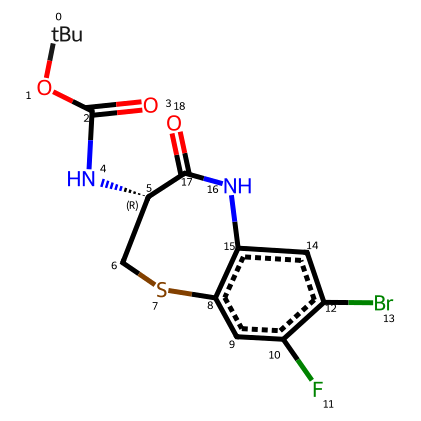 CC(C)(C)OC(=O)N[C@H]1CSc2cc(F)c(Br)cc2NC1=O